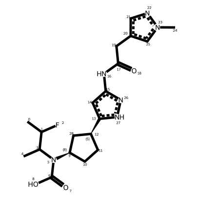 CC(F)C(C)N(C(=O)O)[C@@H]1CC[C@H](c2cc(NC(=O)Cc3cnn(C)c3)n[nH]2)C1